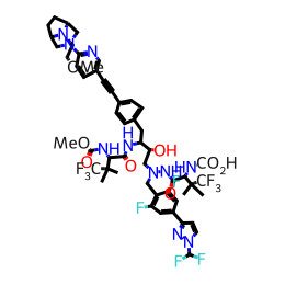 COCCN1C2CCC1CN(c1ccc(C#Cc3ccc(CC(NC(=O)C(NC(=O)OC)C(C)(C)C(F)(F)F)C(O)CN(Cc4c(F)cc(-c5ccn(C(F)F)n5)cc4F)NC(=O)C(NC(=O)O)C(C)(C)C(F)(F)F)cc3)cn1)C2